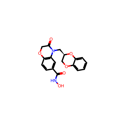 O=C(NO)c1ccc2c(c1)N(C[C@@H]1COc3ccccc3O1)C(=O)CO2